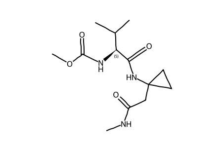 CNC(=O)CC1(NC(=O)[C@@H](NC(=O)OC)C(C)C)CC1